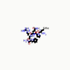 CSCC[C@@H](N)C(=O)N1CCC[C@H]1C(=O)N[C@@H](CCC(N)=O)C(=O)N[C@@H](CCCNC(=N)N)C(=O)N[C@@H](Cc1ccccc1)C(N)=O